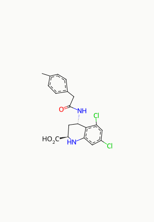 Cc1ccc(CC(=O)N[C@H]2C[C@H](C(=O)O)Nc3cc(Cl)cc(Cl)c32)cc1